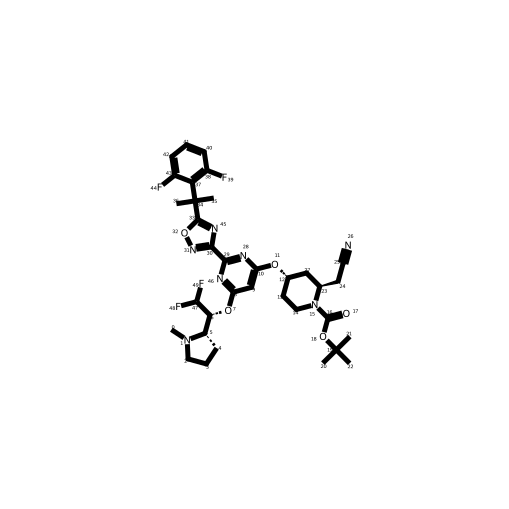 CN1CCC[C@H]1[C@@H](Oc1cc(O[C@H]2CCN(C(=O)OC(C)(C)C)[C@H](CC#N)C2)nc(-c2noc(C(C)(C)c3c(F)cccc3F)n2)n1)C(F)F